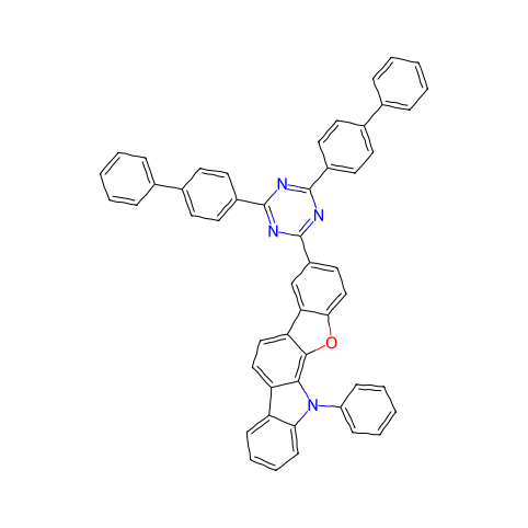 c1ccc(-c2ccc(-c3nc(-c4ccc(-c5ccccc5)cc4)nc(-c4ccc5oc6c(ccc7c8ccccc8n(-c8ccccc8)c76)c5c4)n3)cc2)cc1